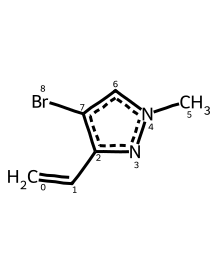 C=Cc1nn(C)cc1Br